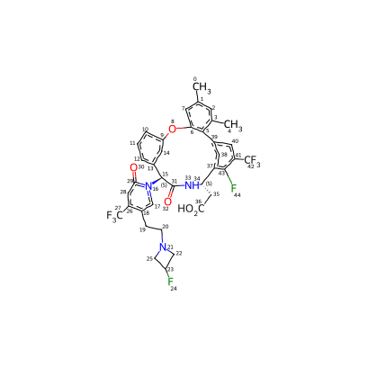 Cc1cc(C)c2c(c1)Oc1cccc(c1)[C@H](n1cc(CCN3CC(F)C3)c(C(F)(F)F)cc1=O)C(=O)N[C@@H](CC(=O)O)c1cc-2cc(C(F)(F)F)c1F